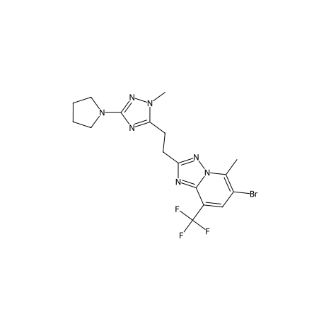 Cc1c(Br)cc(C(F)(F)F)c2nc(CCc3nc(N4CCCC4)nn3C)nn12